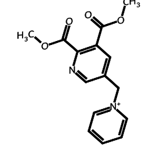 COC(=O)c1cc(C[n+]2ccccc2)cnc1C(=O)OC